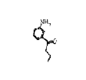 CCCC(=O)c1cc[c]c(N)c1